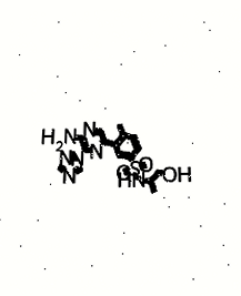 Cc1ccc(S(=O)(=O)NC(C)CO)cc1-c1cnc(N)c(-n2cncn2)n1